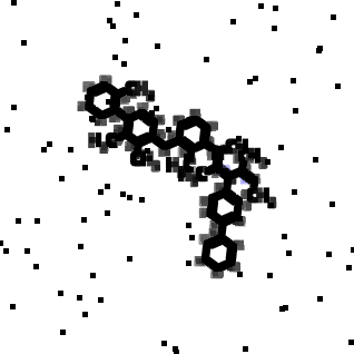 C/C=C(C)\C(=C(\C)N(C)c1cccc(Cc2ccc(C3=C(C)C=CCC3)c(C)c2C)c1C)c1ccc(C2=CCCC=C2)cc1